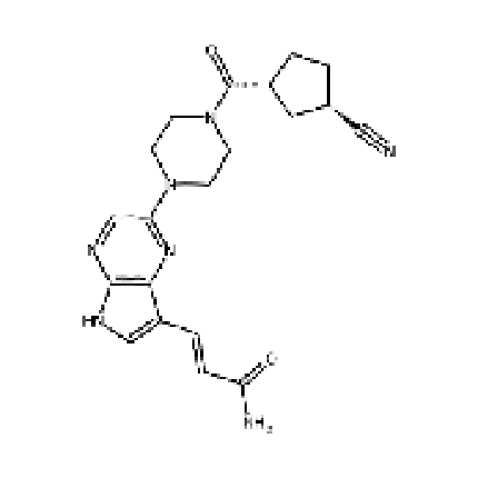 N#C[C@@H]1CC[C@@H](C(=O)N2CCN(c3cnc4[nH]cc(C=CC(N)=O)c4n3)CC2)C1